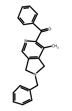 Cc1c(C(=O)c2ccccc2)ncc2c1CN(Cc1ccccc1)C2